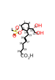 CS(=O)(=O)OC1CCCC([C@H](O)CO)C1CC=CCCCC(=O)O